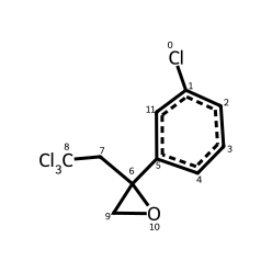 Clc1cccc(C2(CC(Cl)(Cl)Cl)CO2)c1